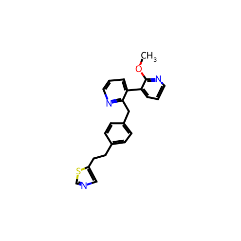 COc1ncccc1-c1cccnc1Cc1ccc(CCc2cncs2)cc1